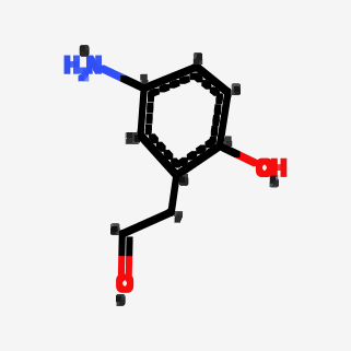 Nc1ccc(O)c(CC=O)c1